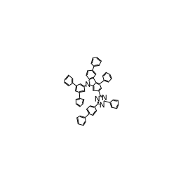 c1ccc(-c2ccc(-c3nc(-c4ccccc4)nc(-c4cc(-c5ccccc5)c5c6cc(-c7ccccc7)ccc6n(-c6cc(-c7ccccc7)cc(-c7ccccc7)c6)c5c4)n3)cc2)cc1